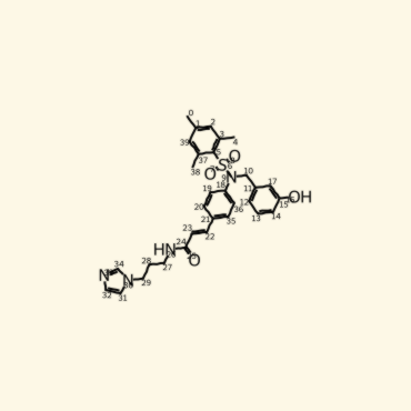 Cc1cc(C)c(S(=O)(=O)N(Cc2cccc(O)c2)c2ccc(C=CC(=O)NCCCn3ccnc3)cc2)c(C)c1